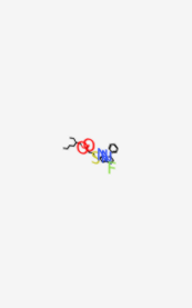 CCCCC(CC)COC(=O)CCSc1cc2n(n1)[C@H](c1ccccc1)C[C@@H]2F